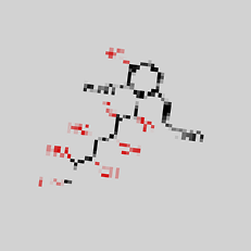 COc1c(O)ccc(C=CC=O)c1C(=O)C(=O)[C@H](O)[C@@H](O)[C@H](O)[C@H](O)CO